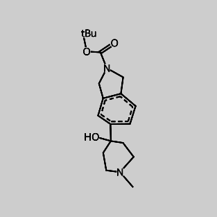 CN1CCC(O)(c2ccc3c(c2)CN(C(=O)OC(C)(C)C)C3)CC1